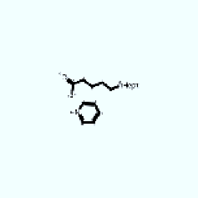 CCCCCCCCCCCC(=O)Br.c1ccncc1